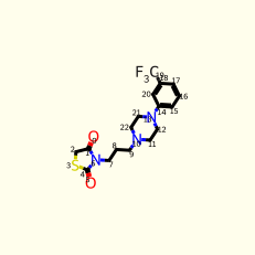 O=C1CSC(=O)N1CCCN1CCN(c2cccc(C(F)(F)F)c2)CC1